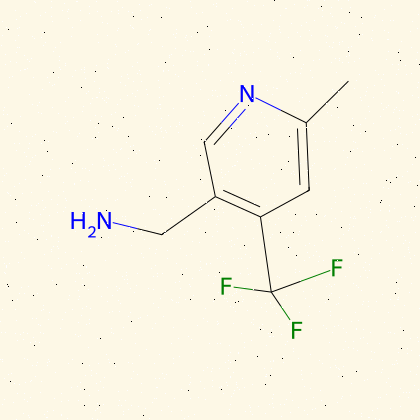 Cc1cc(C(F)(F)F)c(CN)cn1